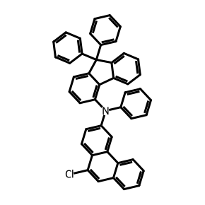 Clc1cc2ccccc2c2cc(N(c3ccccc3)c3cccc4c3-c3ccccc3C4(c3ccccc3)c3ccccc3)ccc12